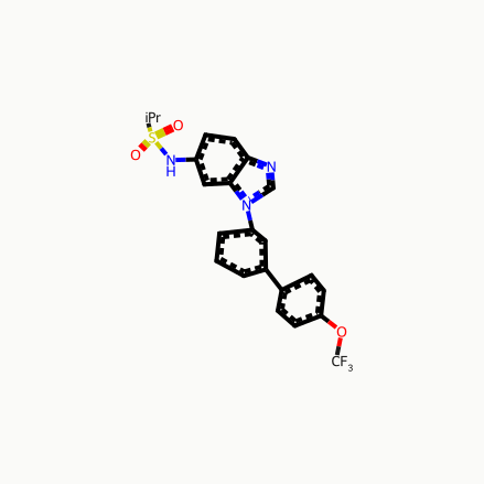 CC(C)S(=O)(=O)Nc1ccc2ncn(-c3cccc(-c4ccc(OC(F)(F)F)cc4)c3)c2c1